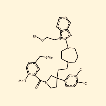 CCOCCn1c(N2CCCN(CCC3(c4ccc(Cl)c(Cl)c4)CCN(C(=O)c4cc(CSC)ccc4OC)C3)CC2)nc2ccccc21